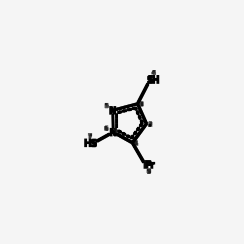 CC(C)c1cc(S)nn1S